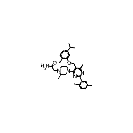 Cc1ccc(C)c(-c2nc(C)c(COc3cc(C(C)C)ccc3C)c(N3CCN(CC(N)=O)[C@H](C)C3)n2)c1